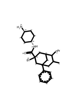 CCCC1C(C)CC2(c3ccccc3)CC1CC(CC)(C(=O)N[C@H]1CC[C@H](N)CC1)C2